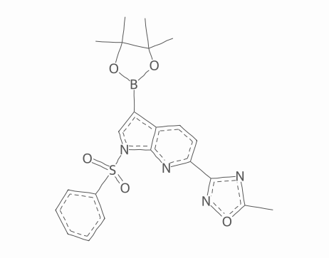 Cc1nc(-c2ccc3c(B4OC(C)(C)C(C)(C)O4)cn(S(=O)(=O)c4ccccc4)c3n2)no1